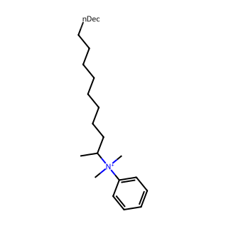 CCCCCCCCCCCCCCCCCCC(C)[N+](C)(C)c1ccccc1